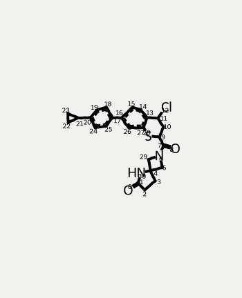 O=C1CCC2(CN(C(=O)C3CC(Cl)c4ccc(-c5ccc(C6CC6)cc5)cc4S3)C2)N1